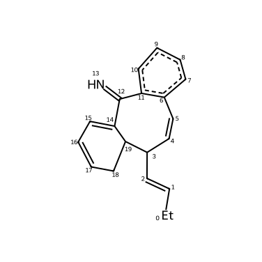 CCC=CC1/C=C\c2ccccc2C(=N)C2=CC=CCC21